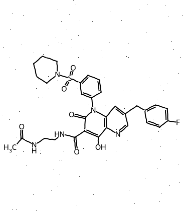 CC(=O)NCCNC(=O)c1c(O)c2ncc(Cc3ccc(F)cc3)cc2n(-c2cccc(S(=O)(=O)N3CCCCC3)c2)c1=O